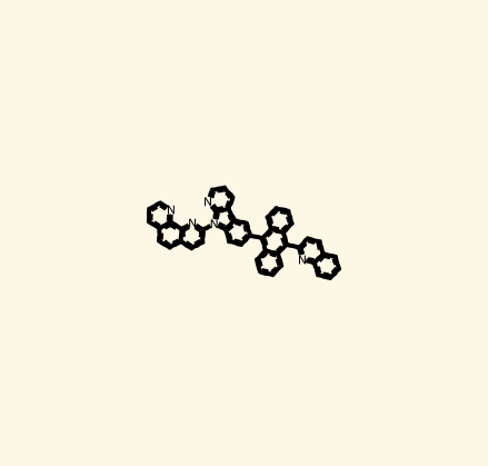 c1ccc2nc(-c3c4ccccc4c(-c4ccc5c(c4)c4cccnc4n5-c4ccc5ccc6cccnc6c5n4)c4ccccc34)ccc2c1